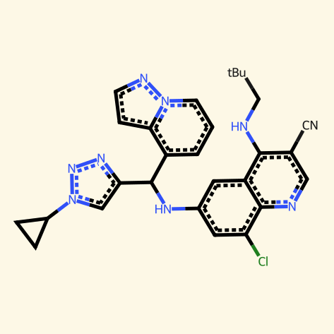 CC(C)(C)CNc1c(C#N)cnc2c(Cl)cc(NC(c3cn(C4CC4)nn3)c3cccn4nccc34)cc12